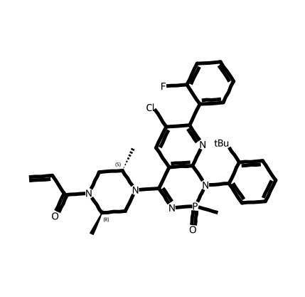 C=CC(=O)N1C[C@H](C)N(C2=NP(C)(=O)N(c3ccccc3C(C)(C)C)c3nc(-c4ccccc4F)c(Cl)cc32)C[C@H]1C